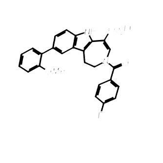 CCOC(=O)C1=CN(C(=O)c2ccc(F)cc2)CCc2c1[nH]c1ccc(-c3ccccc3OC)cc21